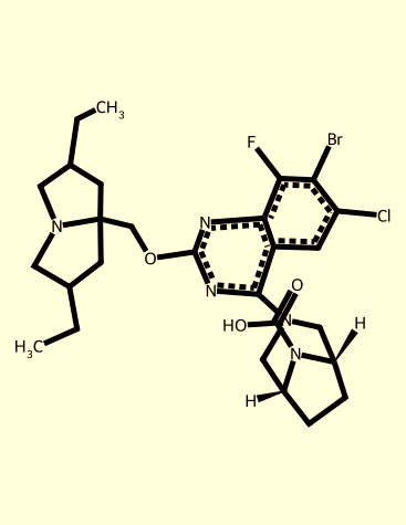 CCC1CN2CC(CC)CC2(COc2nc(N3C[C@H]4CC[C@@H](C3)N4C(=O)O)c3cc(Cl)c(Br)c(F)c3n2)C1